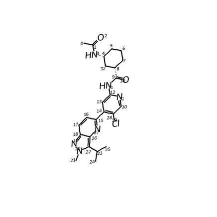 CC(=O)N[C@@H]1CCC[C@H](C(=O)Nc2cc(-c3ccc4nn(C)c(C(C)C)c4n3)c(Cl)cn2)C1